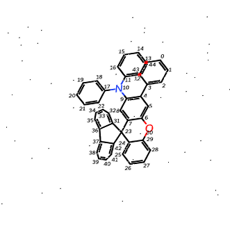 c1ccc(-c2cc3c(cc2N(c2ccccc2)c2ccccc2)C2(c4ccccc4O3)c3ccccc3-c3ccccc32)cc1